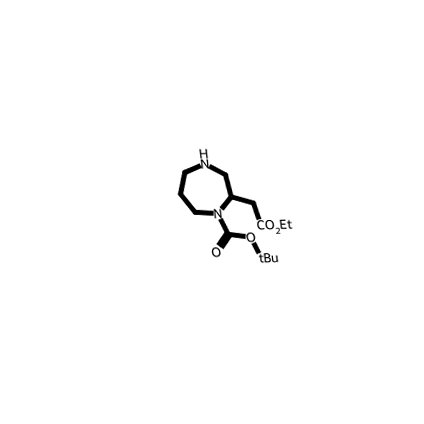 CCOC(=O)CC1CNCCCN1C(=O)OC(C)(C)C